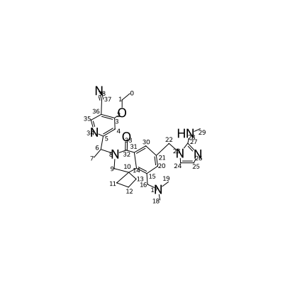 CCOc1cc(C(C)N2CC3(CCC3)c3c(CN(C)C)cc(Cn4ccnc4NC)cc3C2=O)ncc1C#N